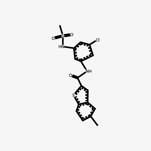 Cc1ccc2sc(C(=O)Nc3cc(Cl)cc(NS(C)(=O)=O)c3)cc2c1